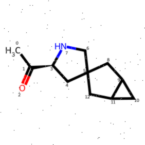 CC(=O)[C@@H]1CC2(CN1)CC1CC1C2